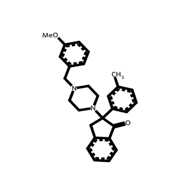 COc1cccc(CN2CCN(C3(c4cccc(C)c4)Cc4ccccc4C3=O)CC2)c1